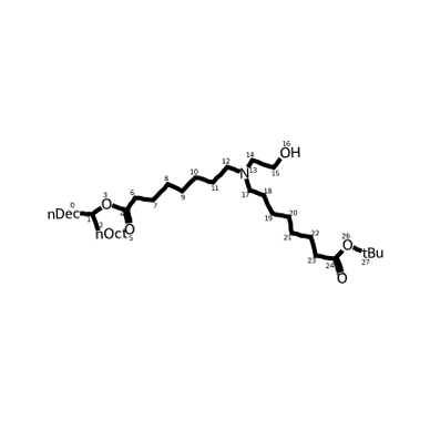 CCCCCCCCCCC(CCCCCCCC)OC(=O)CCCCCCCN(CCO)CCCCCCCC(=O)OC(C)(C)C